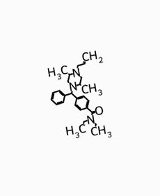 C=CCN1CC(C)N(C(c2ccccc2)c2ccc(C(=O)N(CC)CC)cc2)CC1C